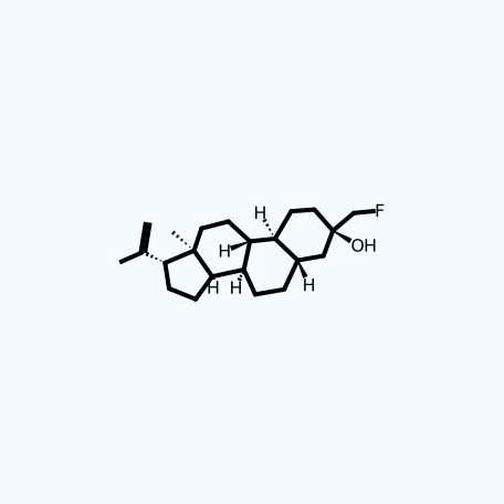 C=C(C)[C@H]1CC[C@H]2[C@@H]3CC[C@H]4C[C@@](O)(CF)CC[C@@H]4[C@H]3CC[C@]12C